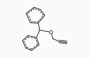 C#CCO[C](c1ccccc1)c1ccccc1